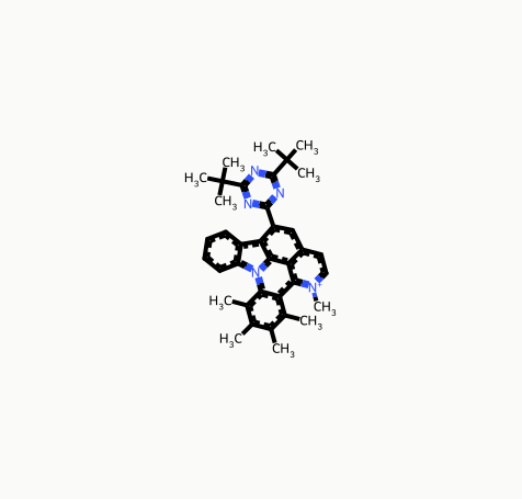 Cc1c(C)c(C)c2c(c1C)c1c3c(cc[n+]1C)cc(-c1nc(C(C)(C)C)nc(C(C)(C)C)n1)c1c4ccccc4n2c13